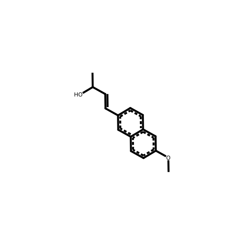 COc1ccc2cc(/C=C/C(C)O)ccc2c1